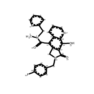 CN(Cc1ccccn1)C(=O)c1c2c(c(O)c3ncccc13)C(=O)N(Cc1ccc(F)cc1)C2